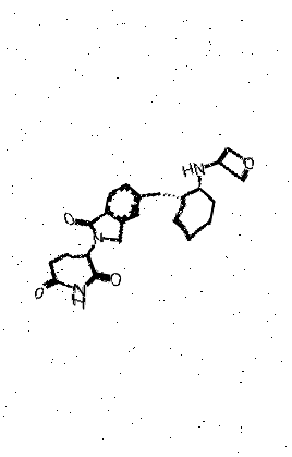 O=C1CCC(N2Cc3cc(C[C@H]4CCCC[C@@H]4NC4COC4)ccc3C2=O)C(=O)N1